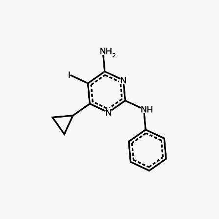 Nc1nc(Nc2ccccc2)nc(C2CC2)c1I